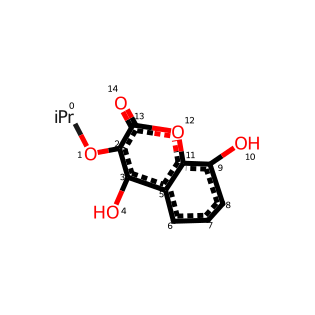 CC(C)Oc1c(O)c2cccc(O)c2oc1=O